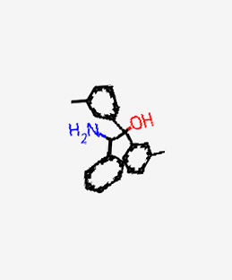 Cc1cccc(C(O)(c2cccc(C)c2)C(N)c2ccccc2)c1